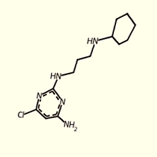 Nc1cc(Cl)nc(NCCCNC2CCCCC2)n1